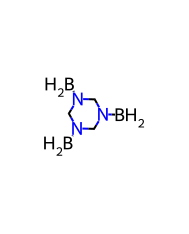 BN1CN(B)CN(B)C1